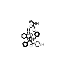 CC(C)NC(=O)COc1cccc(Cn2c(C(=O)N3CCNCC3)c(-c3ccccc3)n(C3CCCC[C@H]3O)c2=O)c1